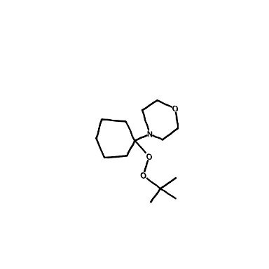 CC(C)(C)OOC1(N2CCOCC2)CCCCC1